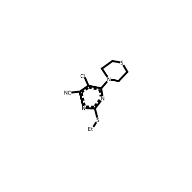 CCSc1nc(C#N)c(Cl)c(N2CCSCC2)n1